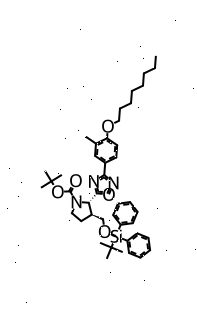 CCCCCCCCOc1ccc(-c2noc([C@@H]3[C@@H](CO[Si](c4ccccc4)(c4ccccc4)C(C)(C)C)CCN3C(=O)OC(C)(C)C)n2)cc1C